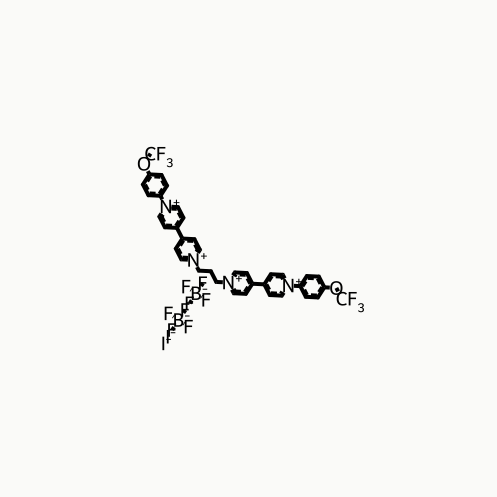 FC(F)(F)Oc1ccc(-[n+]2ccc(-c3cc[n+](CCC[n+]4ccc(-c5cc[n+](-c6ccc(OC(F)(F)F)cc6)cc5)cc4)cc3)cc2)cc1.F[B-](F)(F)F.F[B-](F)(F)F.[I-].[I-]